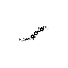 C=CCCCOc1ccc(C2CCC(CCc3ccc(C)cc3F)CC2)c(F)c1F